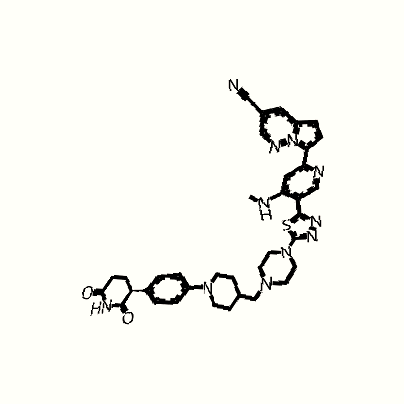 CNc1cc(-c2ccc3cc(C#N)cnn23)ncc1-c1nnc(N2CCN(CC3CCN(c4ccc([C@@H]5CCC(=O)NC5=O)cc4)CC3)CC2)s1